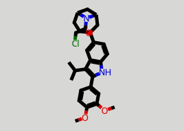 COc1ccc(-c2[nH]c3ccc(C4CCC5CC(C4)N5C(=O)CCl)cc3c2C(C)C)cc1OC